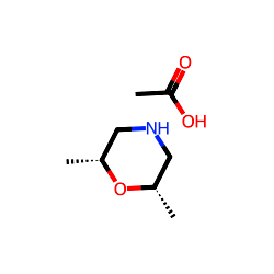 CC(=O)O.C[C@@H]1CNC[C@H](C)O1